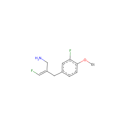 CCOc1ccc(CC(=CF)CN)cc1F